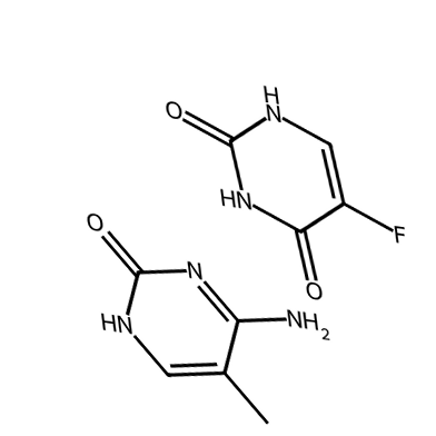 Cc1c[nH]c(=O)nc1N.O=c1[nH]cc(F)c(=O)[nH]1